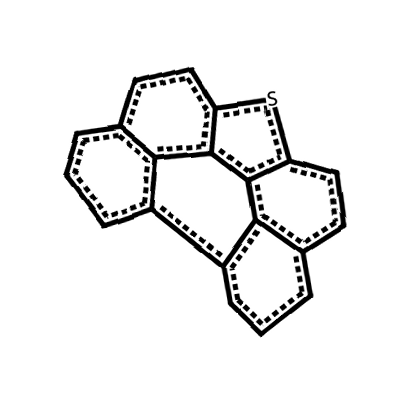 c1cc2ccc3sc4ccc5cccc6c(c1)c2c3c4c56